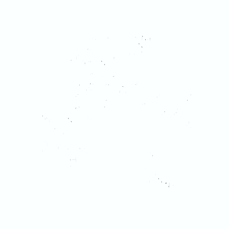 O=C([O-])CCCCCCC(C(=O)[O-])(N1C(=O)CCC1=O)S(=O)(=O)O.O=C([O-])CCCCCCC(C(=O)[O-])(N1C(=O)CCC1=O)S(=O)(=O)O.[Na+].[Na+].[Na+].[Na+]